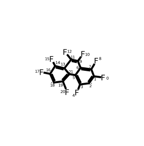 Fc1[c]c(F)c2c(c1F)c(F)c(F)c1c(F)c(F)[c]c(F)c12